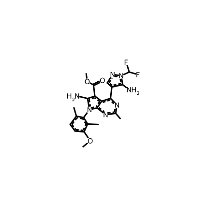 COC(=O)c1c(N)n(-c2c(C)ccc(OC)c2C)c2nc(C)nc(-c3cnn(C(F)F)c3N)c12